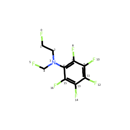 FCCN(CF)c1c(F)c(F)c(F)c(F)c1F